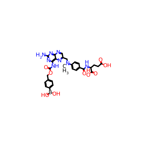 CN(Cc1cnc2nc(N)nc(NC(=O)OCc3ccc(B(O)O)cc3)c2n1)c1ccc(C(=O)NC(CCC(=O)O)C(=O)O)cc1